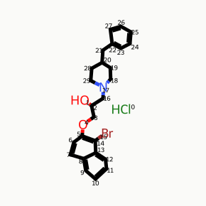 Cl.OC(COc1ccc2ccccc2c1Br)CN1CCC(Cc2ccccc2)CC1